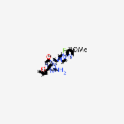 COc1cnc(N2CCN(CCn3c(=O)cnc4c(-c5ccc(C)o5)nc(N)nc43)CC2)c(F)c1